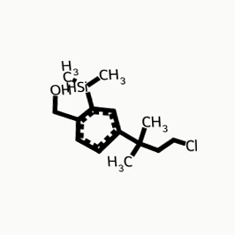 C[SiH](C)c1cc(C(C)(C)CCCl)ccc1CO